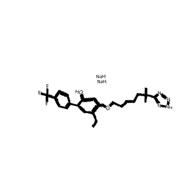 CCc1cc(-c2ccc(C(F)(F)F)cc2)c(O)cc1OCCCCCC(C)(C)c1nn[nH]n1.[NaH].[NaH]